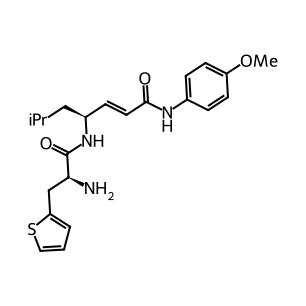 COc1ccc(NC(=O)C=C[C@H](CC(C)C)NC(=O)[C@@H](N)Cc2cccs2)cc1